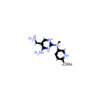 COc1ccc(N(C)c2ncc(CN)c(N)n2)cn1